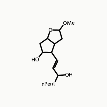 CCCCCC(O)C=CC1C(O)CC2OC(OC)CC21